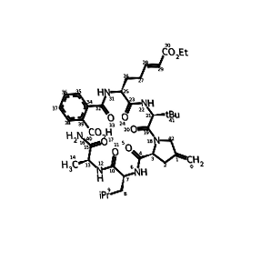 C=C1C[C@@H](C(=O)N[C@@H](CC(C)C)C(=O)N[C@@H](C)C(N)=O)N(C(=O)[C@@H](NC(=O)[C@H](CC/C=C/C(=O)OCC)NC(=O)c2ccccc2C(=O)O)C(C)(C)C)C1